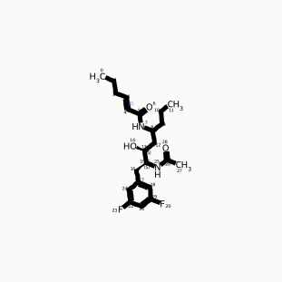 CCC/C=C/C(=O)NC(CCC)C[C@H](O)[C@H](Cc1cc(F)cc(F)c1)NC(C)=O